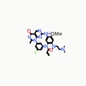 C=CC(=O)Nc1cc(Nc2ncc3c(=O)nc(C)n(-c4cccc(F)c4)c3n2)c(OC)cc1N(C)CCN(C)C